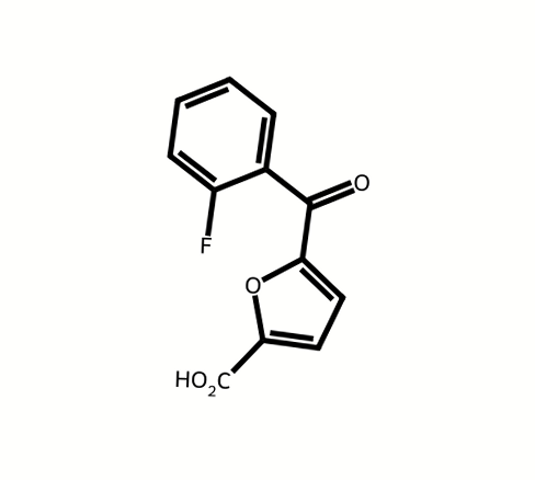 O=C(O)c1ccc(C(=O)c2ccccc2F)o1